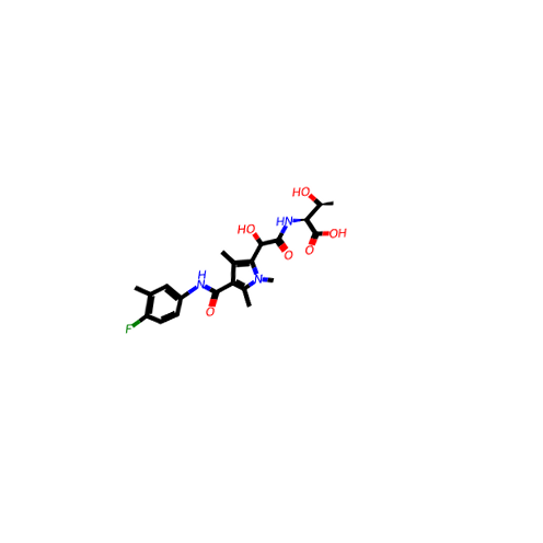 Cc1cc(NC(=O)c2c(C)c(C(O)C(=O)N[C@H](C(=O)O)[C@H](C)O)n(C)c2C)ccc1F